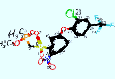 COP(C)(=O)CS(=O)(=O)c1cc(Oc2ccc(C(F)(F)F)cc2Cl)ccc1[N+](=O)[O-]